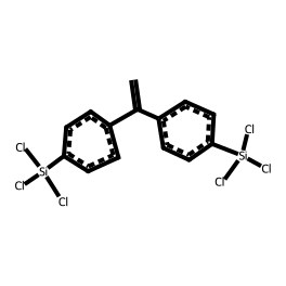 C=C(c1ccc([Si](Cl)(Cl)Cl)cc1)c1ccc([Si](Cl)(Cl)Cl)cc1